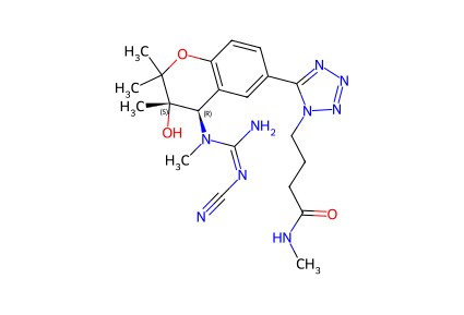 CNC(=O)CCCn1nnnc1-c1ccc2c(c1)[C@@H](N(C)C(N)=NC#N)[C@](C)(O)C(C)(C)O2